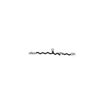 CCCCCCCCCCCCCCCC(=O)CCCNCCCO